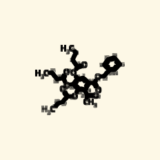 CCCC(=O)Oc1cc(C(=O)OCc2ccccc2)c(C(C)=O)c(OC(=O)CCC)c1OC(=O)CCC